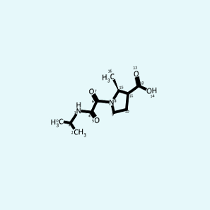 CC(C)NC(=O)C(=O)N1CCC(C(=O)O)[C@@H]1C